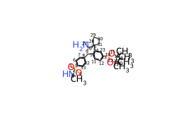 CNS(=O)(=O)c1ccc(Cc2ccc(B3OC(C)(C)C(C)(C)O3)cc2C2(CN)CCCC2)cc1